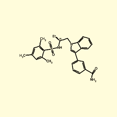 CC[C@@H](Cn1cc(-c2cccc(C(N)=O)c2)c2ccccc21)NS(=O)(=O)c1c(C)cc(C)cc1C